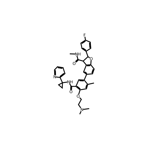 CNC(=O)C1c2cc(-c3cc(C(=O)NC4(c5ccccn5)CC4)c(OCCN(C)C)cc3C)ccc2OC1c1ccc(F)cc1